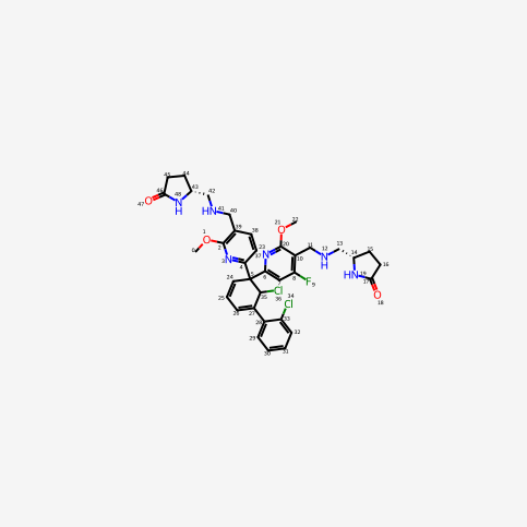 COc1nc(C2(c3cc(F)c(CNC[C@@H]4CCC(=O)N4)c(OC)n3)C=CC=C(c3ccccc3Cl)C2Cl)ccc1CNC[C@H]1CCC(=O)N1